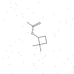 CC(=O)OC1CCC1(C)C